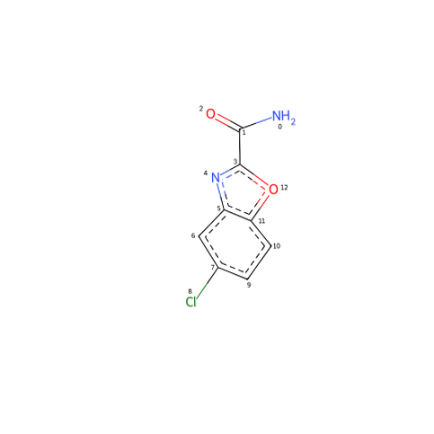 NC(=O)c1nc2cc(Cl)ccc2o1